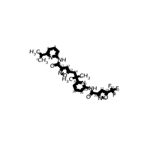 CC(C)c1cccc(NC(=O)c2cc(CC(C)(C)c3cccc(NC(=O)c4cc(C(F)(F)F)on4)n3)on2)n1